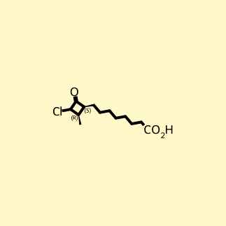 C[C@H]1C(Cl)C(=O)[C@H]1CCCCCCCC(=O)O